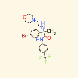 CC(NCCN1CCOCC1)(C(=O)Nc1ccc(C(F)(F)F)cc1)c1ccc(Br)cc1